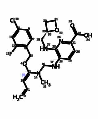 C=C/C=C(/OCc1ccc(Cl)cc1F)N(C)CNc1ccc(C(=O)O)nc1NC[C@@H]1CCO1